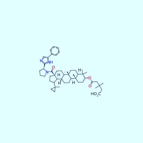 CC(C)(CC(=O)O)CC(=O)O[C@H]1CC[C@]2(C)[C@H]3CC[C@@H]4[C@H]5C(C6(C)CC6)CC[C@]5(C(=O)N5CCC[C@H]5c5ncc(-c6ccccc6)[nH]5)CC[C@@]4(C)[C@]3(C)CC[C@H]2C1(C)C